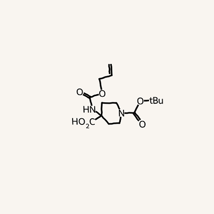 C=CCOC(=O)NC1(C(=O)O)CCN(C(=O)OC(C)(C)C)CC1